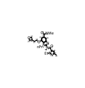 CCCn1c(N(C)C(=O)c2cc(C)nn2CC)nc2cc(C(=O)NC)cc(OCCC3COC3)c21